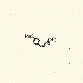 CCOOC/C=C\c1ccc(SC)cc1